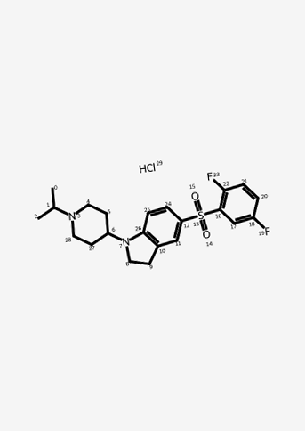 CC(C)N1CCC(N2CCc3cc(S(=O)(=O)c4cc(F)ccc4F)ccc32)CC1.Cl